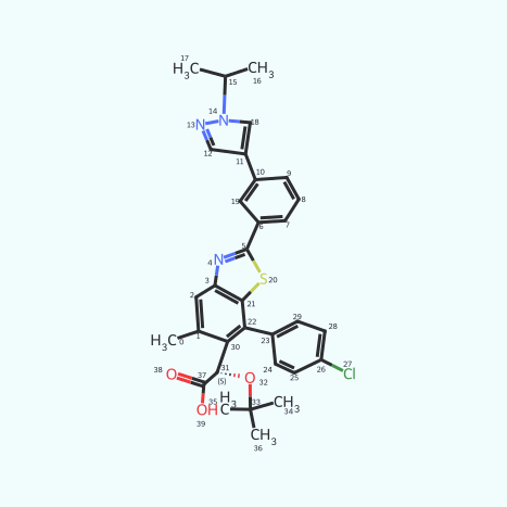 Cc1cc2nc(-c3cccc(-c4cnn(C(C)C)c4)c3)sc2c(-c2ccc(Cl)cc2)c1[C@H](OC(C)(C)C)C(=O)O